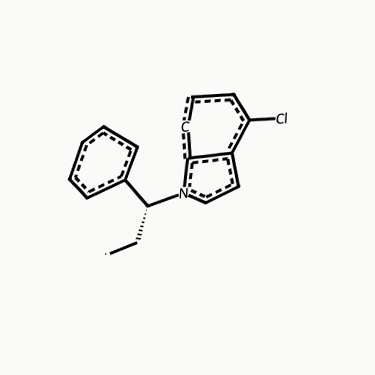 [CH2]C[C@H](c1ccccc1)n1ccc2c(Cl)cccc21